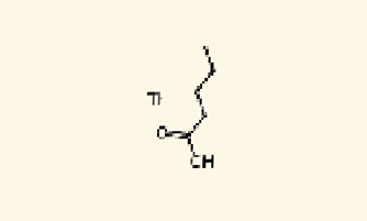 CCCCC(=O)O.[Tl]